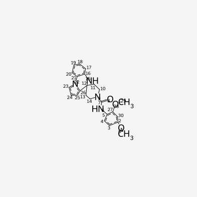 COc1ccc(NC(=O)N2CCC3(CC2)Nc2ccccc2-n2cccc23)c(OC)c1